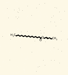 CCCC=CCOC(=O)CCCCCCCCCCCCCCC